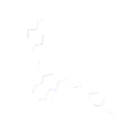 Cc1ccc(CCOc2cc(OCCc3ccc(C)cc3)c3cccc(F)c3n2)cc1